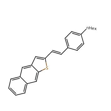 CCCCCCc1ccc(/C=C/c2cc3cc4ccccc4cc3s2)cc1